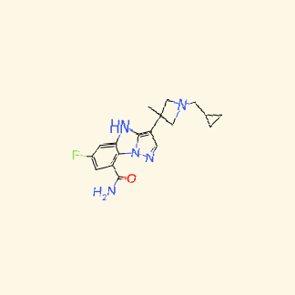 CC1(c2cnn3c2[nH]c2cc(F)cc(C(N)=O)c23)CN(CC2CC2)C1